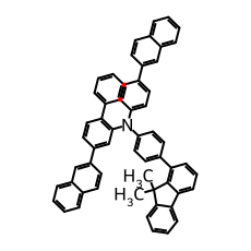 CC1(C)c2ccccc2-c2cccc(-c3ccc(N(c4ccc(-c5ccc6ccccc6c5)cc4)c4cc(-c5ccc6ccccc6c5)ccc4-c4ccccc4)cc3)c21